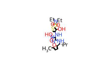 CCN(CC)S(=O)(=O)c1scc(Nc2c(N[C@@H](c3ccc(C)o3)C(C)C)no[n+]2O)c1O